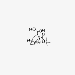 CC(C)(C)OC(=O)N1C(C(O)O)C[C@H]2C=C[C@H]21